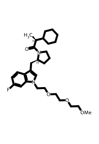 COCCOCCOCCn1cc(C[C@@H]2CCCN2C(=O)[C@@H](C)C2CCCCC2)c2ccc(F)cc21